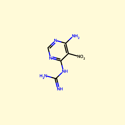 N=C(N)Nc1ncnc(N)c1[N+](=O)[O-]